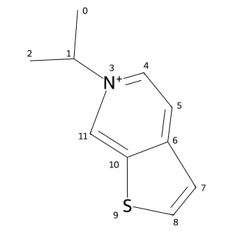 CC(C)[n+]1ccc2ccsc2c1